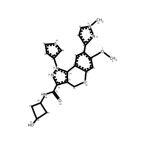 COc1cc2c(cc1-c1ccn(C)n1)-c1c(c(C(=O)NC3CC(O)C3)nn1-c1ccsc1)CO2